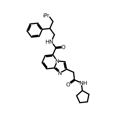 CC(C)CC(CNC(=O)c1cccc2nc(CC(=O)NC3CCCC3)cn12)c1ccccc1